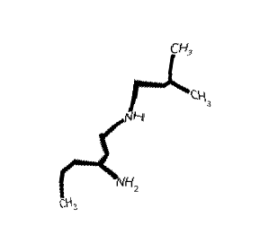 CCC(N)CNCC(C)C